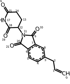 C=CCc1ccc2c(c1)C(=O)N(C1CCC(=O)NC1=O)C2=O